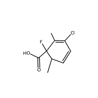 CC1=C(Cl)C=CC(C)C1(F)C(=O)O